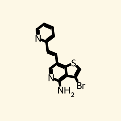 Nc1ncc(/C=C/c2ccccn2)c2scc(Br)c12